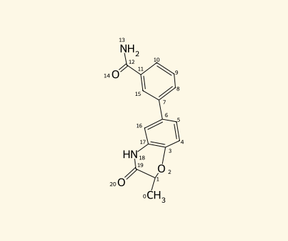 CC1Oc2ccc(-c3cccc(C(N)=O)c3)cc2NC1=O